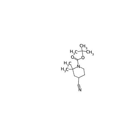 CC(C)(C)OC(=O)N1CCC(C#N)CC1(C)C